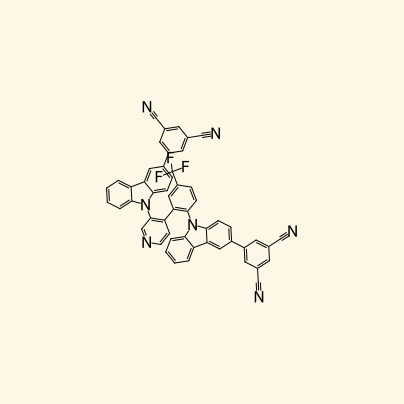 N#Cc1cc(C#N)cc(-c2ccc3c(c2)c2ccccc2n3-c2ccc(C(F)(F)F)cc2-c2ccncc2-n2c3ccccc3c3cc(-c4cc(C#N)cc(C#N)c4)ccc32)c1